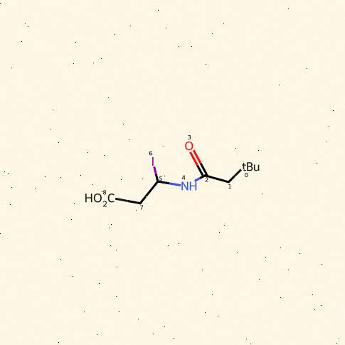 CC(C)(C)CC(=O)NC(I)CC(=O)O